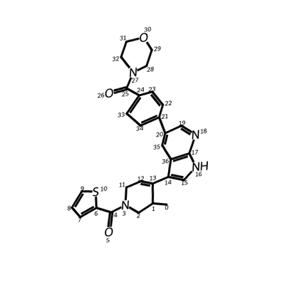 CC1CN(C(=O)c2cccs2)CC=C1c1c[nH]c2ncc(-c3ccc(C(=O)N4CCOCC4)cc3)cc12